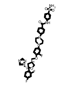 NS(=O)(=O)c1ccc(NC(=O)c2ccc(N3CCN(c4ccc(OC[C@H]5CO[C@@](Cn6cncn6)(c6ccc(F)cc6F)C5)c(F)c4)CC3)cc2)cc1